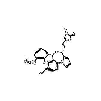 COc1cccc([C@H]2O[C@H](CCc3n[nH]c(=O)o3)c3cccn3-c3ccc(Cl)cc32)c1OC